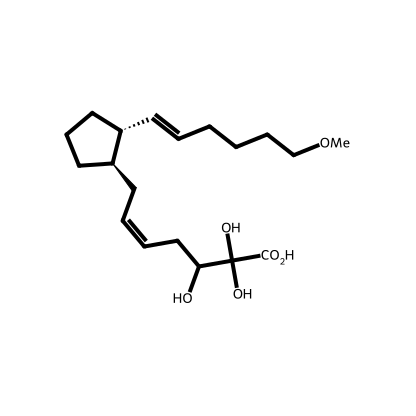 COCCCC/C=C/[C@H]1CCC[C@@H]1C/C=C\CC(O)C(O)(O)C(=O)O